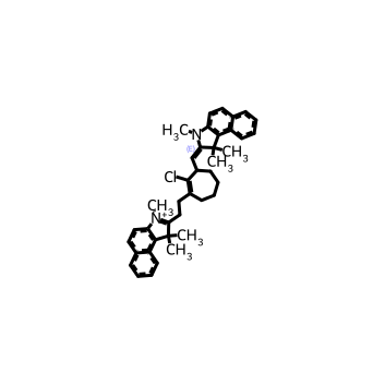 CN1/C(=C/C2CCCCC(CCC3=[N+](C)c4ccc5ccccc5c4C3(C)C)=C2Cl)C(C)(C)c2c1ccc1ccccc21